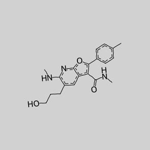 CNC(=O)c1c(-c2ccc(C)cc2)oc2nc(NC)c(CCCO)cc12